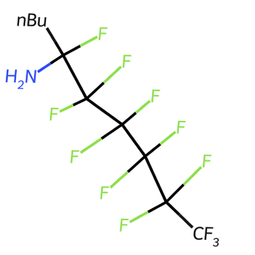 CCCCC(N)(F)C(F)(F)C(F)(F)C(F)(F)C(F)(F)C(F)(F)F